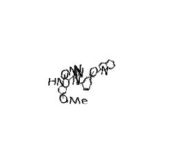 COc1ccc2[nH]c(=O)c(-c3nnnn3Cc3cccc(OCc4ccc5ccccc5n4)c3)cc2c1